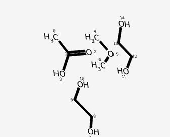 CC(=O)O.COC.OCCO.OCCO